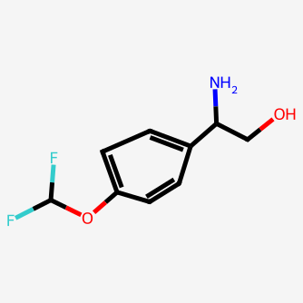 NC(CO)c1ccc(OC(F)F)cc1